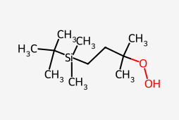 CC(C)(CC[Si](C)(C)C(C)(C)C)OO